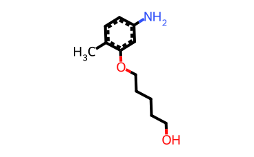 Cc1ccc(N)cc1OCCCCCO